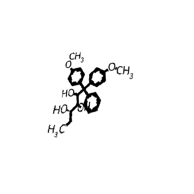 CC[C@H](O)[C@H](O)C(O)C(c1ccccc1)(c1ccc(OC)cc1)c1ccc(OC)cc1